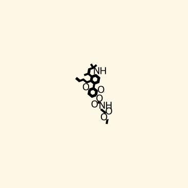 C=CCC1Oc2ccc(OC(=O)NCC(=O)OCC)c(OC)c2-c2ccc3c(c21)C(C)=CC(C)(C)N3